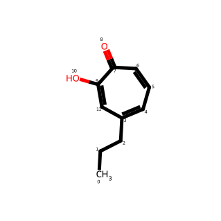 CCCc1cccc(=O)c(O)c1